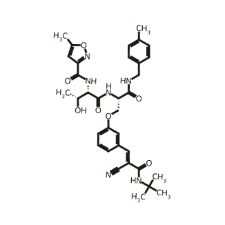 Cc1ccc(CNC(=O)[C@H](COc2cccc(/C=C(\C#N)C(=O)NC(C)(C)C)c2)NC(=O)[C@@H](NC(=O)c2cc(C)on2)[C@@H](C)O)cc1